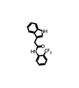 O=C(Cc1c[nH]c2ccccc12)Nc1ccccc1C(F)(F)F